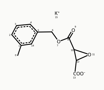 Cc1cccc(COC(=O)C2OC2C(=O)[O-])c1.[K+]